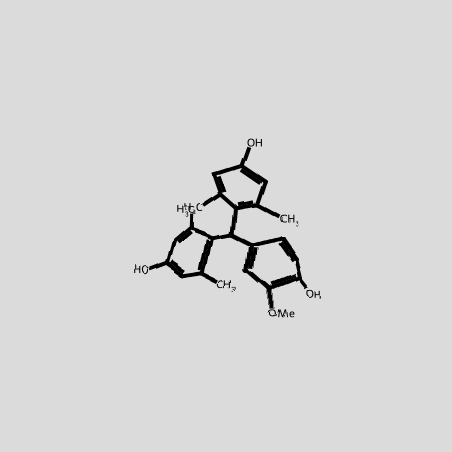 COc1cc(C(c2c(C)cc(O)cc2C)c2c(C)cc(O)cc2C)ccc1O